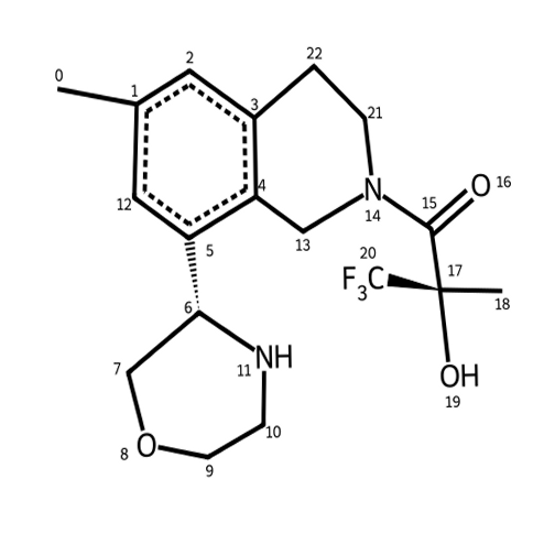 Cc1cc2c(c([C@H]3COCCN3)c1)CN(C(=O)[C@](C)(O)C(F)(F)F)CC2